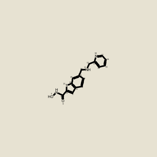 O=C(NO)c1cc2ccc(CNCc3ccccn3)cc2s1